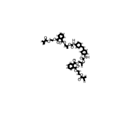 C=C(C)C(=O)OCCOC(=O)c1ccccc1C(=O)OCC(C)OC(=O)NC1CCC(CC2CCC(NC(=O)OC(C)COC(=O)c3ccccc3C(=O)OCCOC(=O)C(=C)C)CC2)CC1